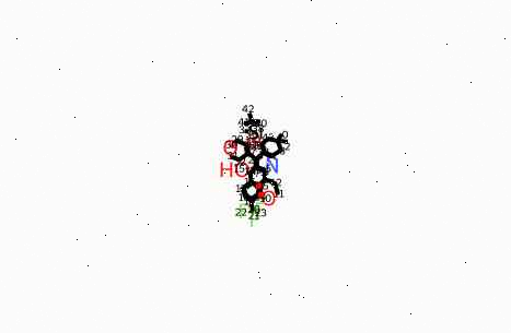 CC1(C)Cc2nc(C3CCOCC3)c([C@H](O)c3ccc(C(F)(F)F)cc3)c(C3=CCOCC3)c2[C@@H](O[Si](C)(C)C(C)(C)C)C1